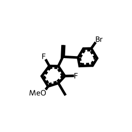 C=C(c1cccc(Br)c1)c1c(F)cc(OC)c(C)c1F